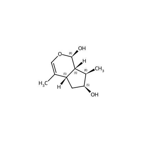 CC1=CO[C@@H](O)[C@@H]2[C@@H](C)[C@@H](O)C[C@H]12